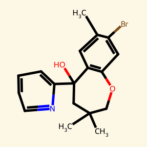 Cc1cc2c(cc1Br)OCC(C)(C)CC2(O)c1ccccn1